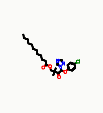 CCCCCCCCCCCC(=O)OCC(C)(C)C(=O)C(Oc1ccc(Cl)cc1)n1cncn1